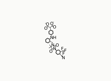 COC(=O)C(C(=O)OC)c1ccc(Nc2ccccc2CN2C(=O)N(c3ccc(C#N)c(C(F)(F)F)c3)C(=O)C2(C)C)cc1